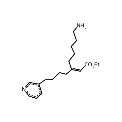 CCOC(=O)C=C(CCCCCN)CCCCc1cccnc1